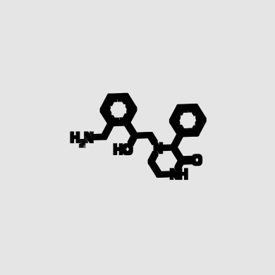 NCc1ccccc1C(O)CN1CCNC(=O)C1c1ccccc1